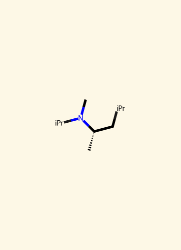 CC(C)C[C@H](C)N(C)C(C)C